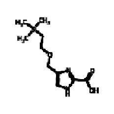 C[Si](C)(C)CCOCc1c[nH]c(C(=O)O)n1